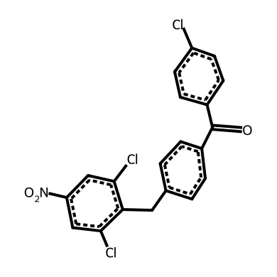 O=C(c1ccc(Cl)cc1)c1ccc(Cc2c(Cl)cc([N+](=O)[O-])cc2Cl)cc1